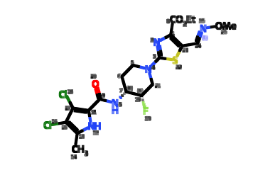 CCOC(=O)c1nc(N2CC[C@@H](NC(=O)c3[nH]c(C)c(Cl)c3Cl)[C@@H](F)C2)sc1/C=N/OC